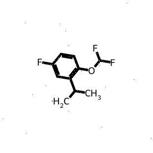 [CH2]C(C)c1cc(F)ccc1OC(F)F